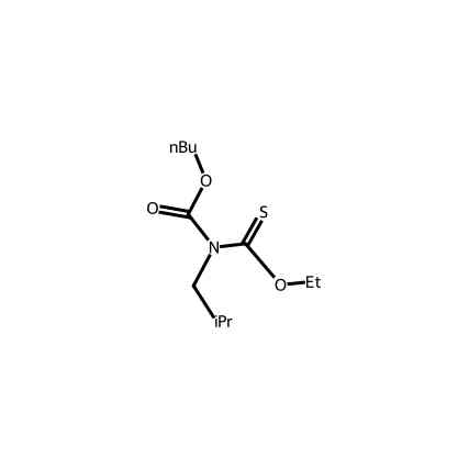 CCCCOC(=O)N(CC(C)C)C(=S)OCC